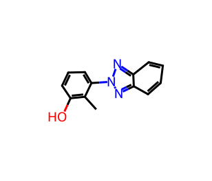 Cc1c(O)cccc1-n1nc2ccccc2n1